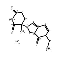 CC1(N2C=C3C=CC(CN)C(=O)C3C2)CCC(=O)NC1=O.Cl